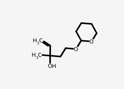 C=CC(C)(O)CCOC1CCCCO1